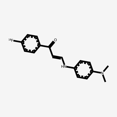 CN(C)c1ccc(NC=CC(=O)c2ccc([18F])cc2)cc1